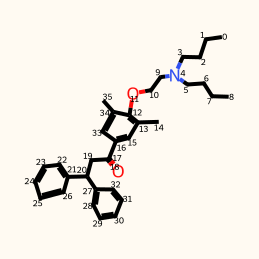 CCCCN(CCCC)CCOc1c(C)cc(C(=O)CC(c2ccccc2)c2ccccc2)cc1C